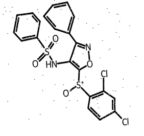 O=S(=O)(Nc1c(-c2ccccc2)noc1[S+]([O-])c1ccc(Cl)cc1Cl)c1ccccc1